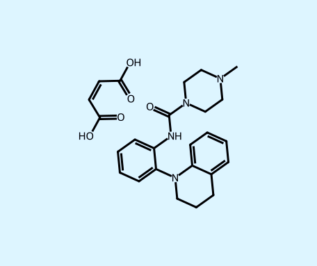 CN1CCN(C(=O)Nc2ccccc2N2CCCc3ccccc32)CC1.O=C(O)/C=C\C(=O)O